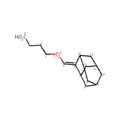 O=C(O)CCCOC=C1C2CC3CC(C2)CC1C3